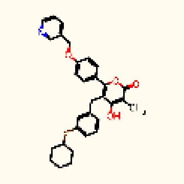 Cc1c(O)c(Cc2cccc(SC3CCCCC3)c2)c(-c2ccc(OCc3cccnc3)cc2)oc1=O